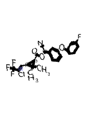 CC1(C)[C@H](C(=O)O[C@@H](C#N)c2cccc(Oc3cccc(F)c3)c2)[C@@H]1/C=C(\Cl)C(F)(F)F